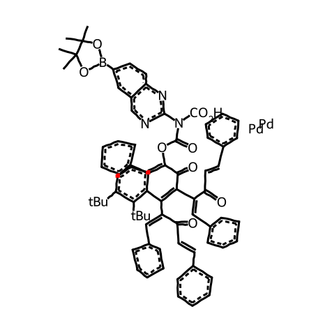 CC(C)(C)c1cccc(C(C(=Cc2ccccc2)C(=O)C=Cc2ccccc2)=C(C(=O)C(=Cc2ccccc2)OC(=O)N(C(=O)O)c2ncc3cc(B4OC(C)(C)C(C)(C)O4)ccc3n2)C(=Cc2ccccc2)C(=O)C=Cc2ccccc2)c1C(C)(C)C.[Pd].[Pd]